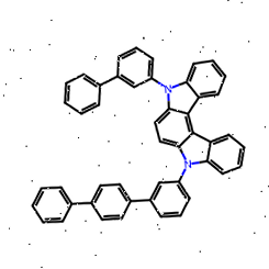 c1ccc(-c2ccc(-c3cccc(-n4c5ccccc5c5c6c7ccccc7n(-c7cccc(-c8ccccc8)c7)c6ccc54)c3)cc2)cc1